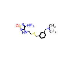 CN(C)Cc1cccc(CSCCNc2n[s+]([O-])nc2N)c1